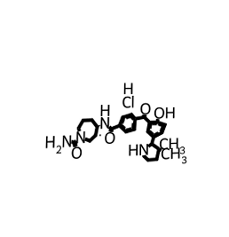 CC1(C)CCCNC1c1ccc(O)c(C(=O)c2ccc(C(=O)N[C@@H]3[CH]CN(C(N)=O)CCC3)cc2)c1.Cl